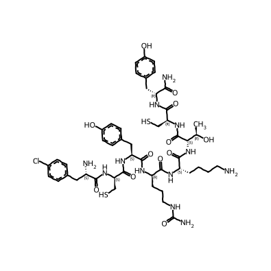 C[C@@H](O)[C@H](NC(=O)[C@H](CCCCN)NC(=O)[C@@H](CCCNC(N)=O)NC(=O)[C@H](Cc1ccc(O)cc1)NC(=O)[C@@H](CS)NC(=O)[C@@H](N)Cc1ccc(Cl)cc1)C(=O)N[C@@H](CS)C(=O)N[C@H](Cc1ccc(O)cc1)C(N)=O